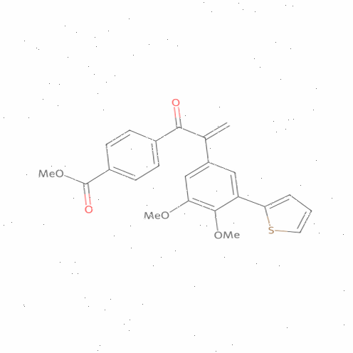 C=C(C(=O)c1ccc(C(=O)OC)cc1)c1cc(OC)c(OC)c(-c2cccs2)c1